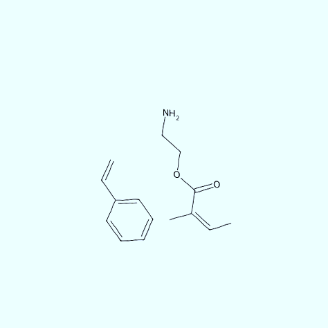 C=Cc1ccccc1.CC=C(C)C(=O)OCCN